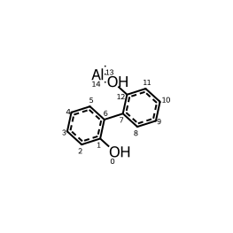 Oc1ccccc1-c1ccccc1O.[Al]